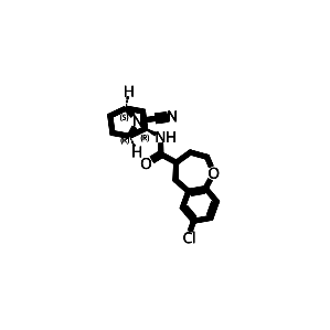 N#CN1[C@H]2CC[C@@H]1[C@H](NC(=O)C1CCOc3ccc(Cl)cc3C1)C2